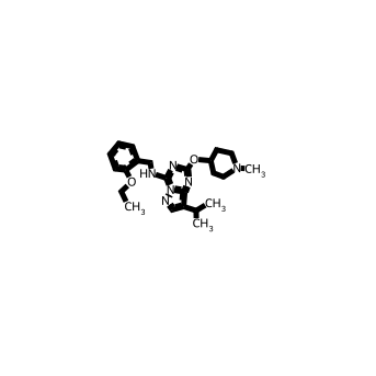 CCOc1ccccc1CNc1nc(OC2CCN(C)CC2)nc2c(C(C)C)cnn12